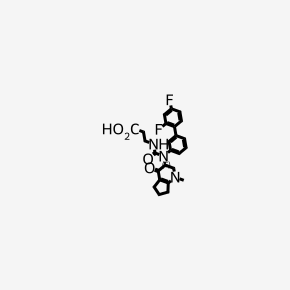 CN1C[C@H](N(C(=O)NCCC(=O)O)c2cccc(-c3ccc(F)cc3F)c2)C(=O)C2=C1CCC2